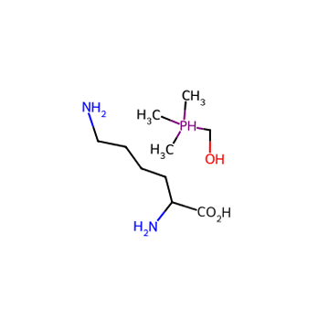 C[PH](C)(C)CO.NCCCCC(N)C(=O)O